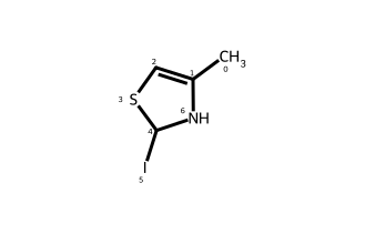 CC1=CSC(I)N1